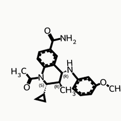 COc1cccc(N[C@H]2c3cc(C(N)=O)ccc3N(C(C)=O)[C@@H](C3CC3)[C@@H]2C)c1